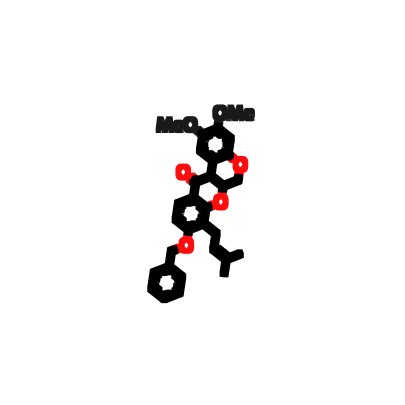 COc1cc2c(cc1OC)C1C(=O)c3ccc(OCc4ccccc4)c(CC=C(C)C)c3OC1CO2